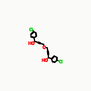 OC(C#CCOCC#CC(O)c1ccc(Cl)cc1)c1ccc(Cl)cc1